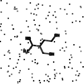 CC(O)C(CO)CCO